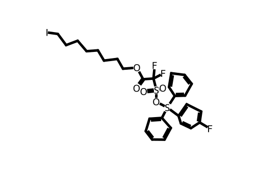 O=C(OCCCCCCCCI)C(F)(F)S(=O)(=O)OS(c1ccccc1)(c1ccccc1)c1ccc(F)cc1